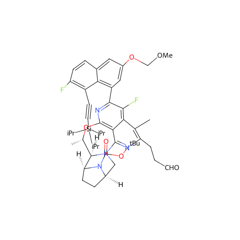 COCOc1cc(-c2nc3c4c(nc(CCC=O)c(C)c4c2F)N2C[C@H]4CC[C@@H]([C@H]2[C@H](C)O3)N4C(=O)OC(C)(C)C)c2c(C#C[Si](C(C)C)(C(C)C)C(C)C)c(F)ccc2c1